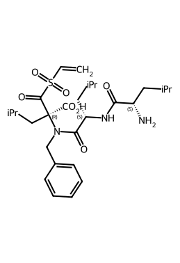 C=CS(=O)(=O)C(=O)[C@@](CC(C)C)(C(=O)O)N(Cc1ccccc1)C(=O)[C@H](CC(C)C)NC(=O)[C@@H](N)CC(C)C